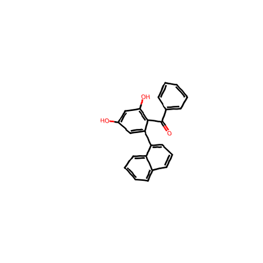 O=C(c1ccccc1)c1c(O)cc(O)cc1-c1cccc2ccccc12